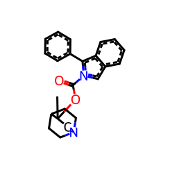 CC1(OC(=O)n2cc3ccccc3c2-c2ccccc2)CN2CCC1CC2